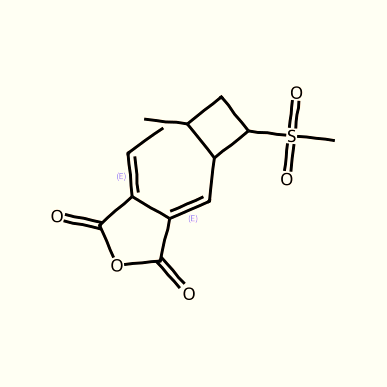 C/C=C1/C(=O)OC(=O)/C1=C/C1C(C)CC1S(C)(=O)=O